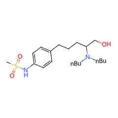 CCCCN(CCCC)C(CO)CCCc1ccc(NS(C)(=O)=O)cc1